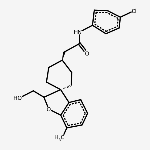 Cc1cccc2c1OC(CO)[C@]21CC[C@H](CC(=O)Nc2ccc(Cl)cc2)CC1